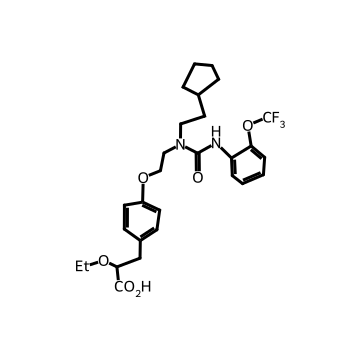 CCOC(Cc1ccc(OCCN(CCC2CCCC2)C(=O)Nc2ccccc2OC(F)(F)F)cc1)C(=O)O